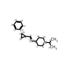 CC(C)N1CCC(/N=C/C2C[C@@H]2c2ccccc2)CC1